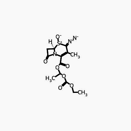 CCOC(=O)OC(C)OC(=O)C1=C(C)C(=[N+]=[N-])[S+]([O-])[C@@H]2CC(=O)N12